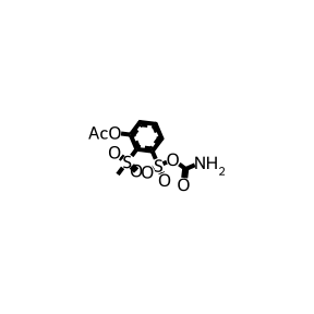 CC(=O)Oc1cccc(S(=O)(=O)OC(N)=O)c1S(C)(=O)=O